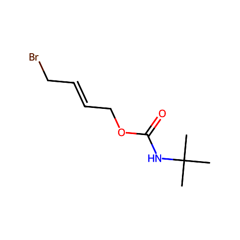 CC(C)(C)NC(=O)OCC=CCBr